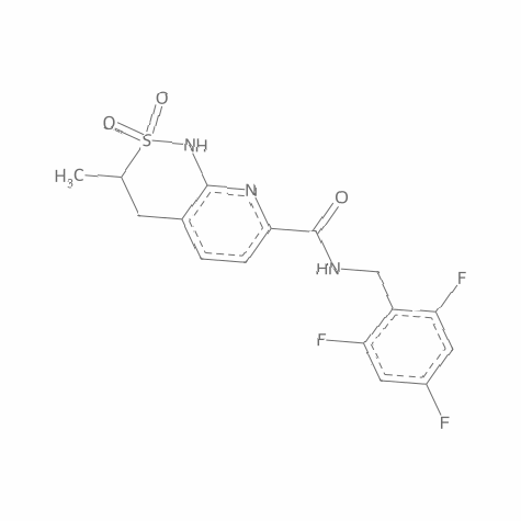 CC1Cc2ccc(C(=O)NCc3c(F)cc(F)cc3F)nc2NS1(=O)=O